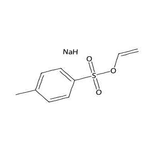 C=COS(=O)(=O)c1ccc(C)cc1.[NaH]